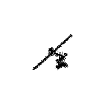 CC[C@@]1(O)C(=O)OCc2c1cc1n(c2=O)Cc2c-1nc1cc(F)c3c(c1c2CNC(=O)[C@@H](OCNC(=O)CNC(=O)[C@H](Cc1ccccc1)NC(=O)CNC(=O)CNC(=O)CCCOc1c(C(=O)NCCOCCOCCOCCOCCOCCOCCOCCOC)cc(N2C(=O)C=CC2=O)cc1C(=O)NCCOCCOCCOCCOCCOCCOCCOCCOC)C1CC1)CCC3